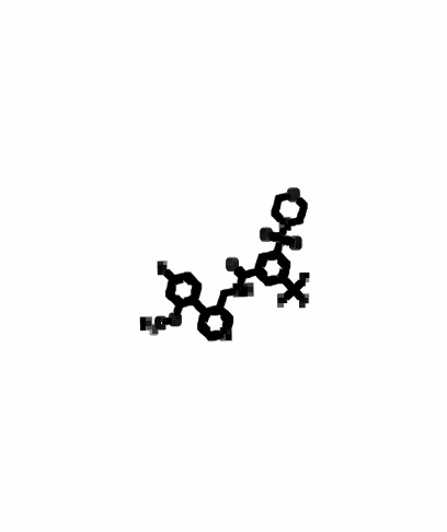 COc1cc(F)ccc1-c1ccncc1CNC(=O)c1cc(C(F)(F)F)cc(S(=O)(=O)N2CCOCC2)c1